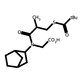 CC(CSC(=O)C(C)(C)C)C(=O)N(CC(=O)O)C1CC2CCC1C2